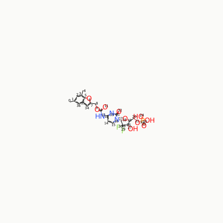 Cc1cc(C)c2oc(COC(=O)Nc3ccn([C@@H]4OC(COP(=O)(O)O)[C@@H](O)C4(F)F)c(=O)n3)cc2c1